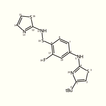 CC(C)(C)c1csc(Nc2ccc(SNc3nccs3)c(F)c2)n1